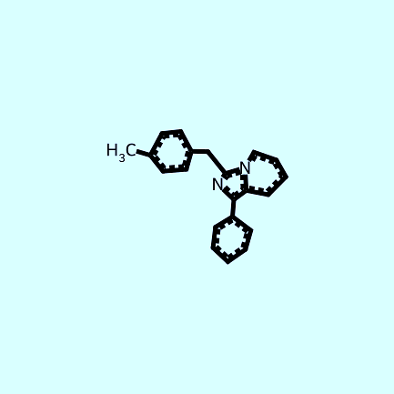 Cc1ccc(Cc2nc(-c3ccccc3)c3ccccn23)cc1